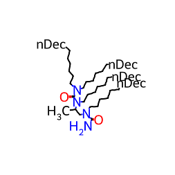 CCCCCCCCCCCCCCCCN(CC(C)N(CCCCCCCCCCCCCCCC)C(=O)N(CCCCCCCCCCCCCCCC)CCCCCCCCCCCCCCCC)C(N)=O